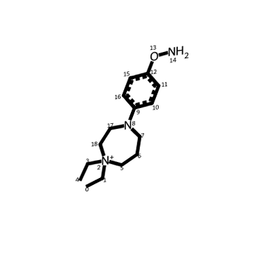 CC[N+]1(CC)CCCN(c2ccc(ON)cc2)CC1